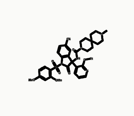 CCOc1ncccc1C1(NC(=O)N2CCC3(CCN(C)CC3)CC2)C(=O)N(S(=O)(=O)c2ccc(OC)cc2OC)c2ccc(C#N)cc21